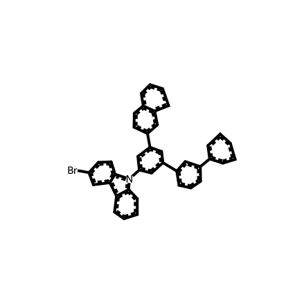 Brc1ccc2c(c1)c1ccccc1n2-c1cc(-c2cccc(-c3ccccc3)c2)cc(-c2ccc3ccccc3c2)c1